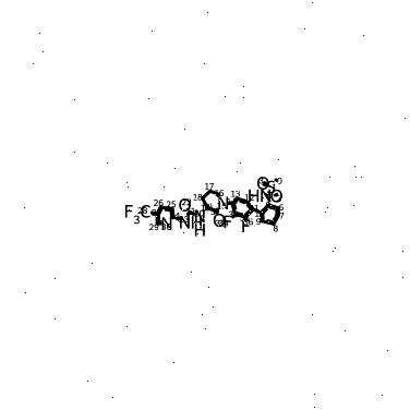 CS(=O)(=O)Nc1ccccc1-c1ccc(N2CCC[C@@H](NC(=O)Nc3ccc(C(F)(F)F)cn3)C2=O)c(F)c1F